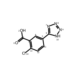 O=C(O)c1cc(-c2nnn[nH]2)ccc1Cl